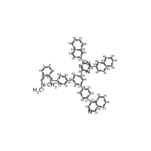 C=N/C=c1/cccc/c1=C(/C)c1ccc(-c2cc(-c3ccc(-c4cncc5ccccc45)cc3)cc(-c3nc(-c4ccc5ccccc5c4)nc(-c4ccc5ccccc5c4)n3)c2)cc1